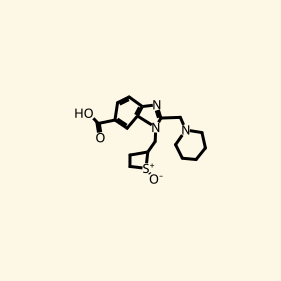 O=C(O)c1ccc2nc(CN3CCCCC3)n(CC3CC[S+]3[O-])c2c1